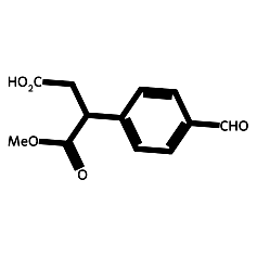 COC(=O)C(CC(=O)O)c1ccc(C=O)cc1